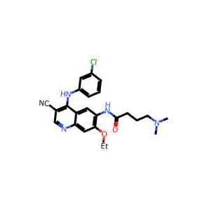 CCOc1cc2ncc(C#N)c(Nc3cccc(Cl)c3)c2cc1NC(=O)CCCN(C)C